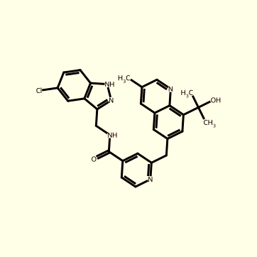 Cc1cnc2c(C(C)(C)O)cc(Cc3cc(C(=O)NCc4n[nH]c5ccc(Cl)cc45)ccn3)cc2c1